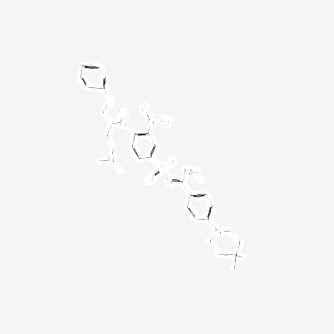 CN(C)CCC(CSc1ccccc1)Nc1ccc(S(=O)(=O)N=C(N)c2ccc(N3CCC(C)(C)CC3)cc2)cc1[N+](=O)[O-]